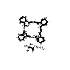 O=C([O][InH2])C(F)(F)F.c1ccc2c(c1)-c1nc-2nc2[nH]c(nc3nc(nc4[nH]c(n1)c1ccccc41)-c1ccccc1-3)c1ccccc21